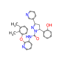 Cc1cccc(Oc2ncccc2NC(=O)N2N=C(c3cccnc3)CC2c2ccccc2O)c1C